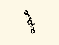 O=C(NCc1ccncc1)c1ccnc(C(=O)NCc2ccncc2)c1